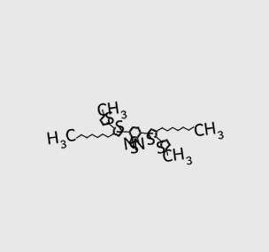 CCCCCCCCc1cc(-c2ccc(-c3cc(CCCCCCCC)c(-c4ccc(C)s4)s3)c3nsnc23)sc1-c1ccc(C)s1